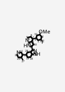 COc1cc(F)cc(-c2ccnc3[nH]c(-c4n[nH]c5ccc(-c6cnccc6C)cc45)cc23)c1